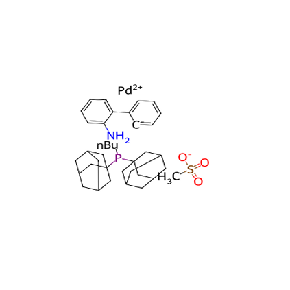 CCCCP(C12CC3CC(CC(C3)C1)C2)C12CC3CC(CC(C3)C1)C2.CS(=O)(=O)[O-].Nc1ccccc1-c1[c-]cccc1.[Pd+2]